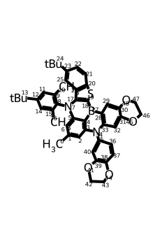 Cc1cc2c3c(c1)N(c1c(C)cc(C(C)(C)C)cc1C)c1c(sc4ccc(C(C)(C)C)cc14)B3c1cc3c(cc1N2c1ccc2c(c1)OCCO2)OCCO3